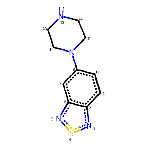 c1cc2nsnc2cc1N1CCNCC1